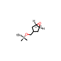 CC(C)(C)[Si](C)(C)OCC1C[C@@H]2O[C@@H]2C1